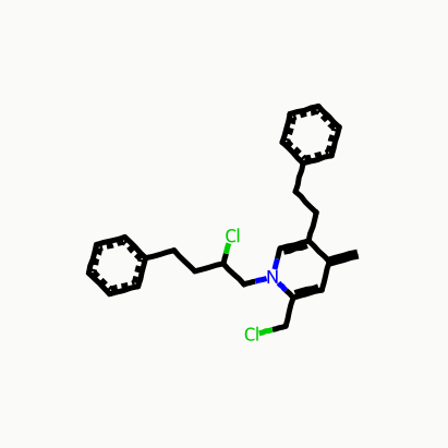 C=C1C=C(CCl)N(CC(Cl)CCc2ccccc2)C=C1CCc1ccccc1